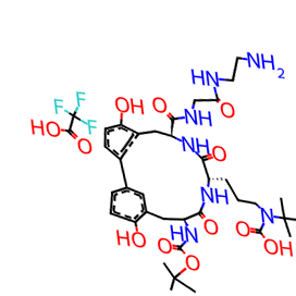 CC(C)(C)OC(=O)N[C@H]1Cc2cc(ccc2O)-c2ccc(O)c(c2)C[C@@H](C(=O)NCC(=O)NCCN)NC(=O)[C@H](CCCN(C(=O)O)C(C)(C)C)NC1=O.O=C(O)C(F)(F)F